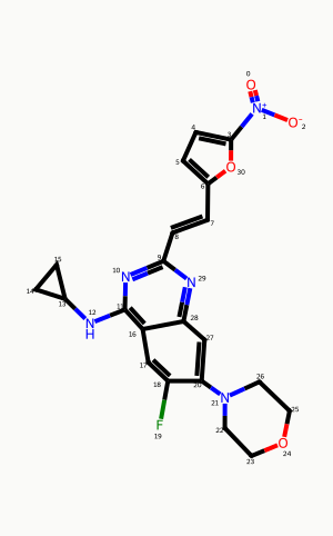 O=[N+]([O-])c1ccc(C=Cc2nc(NC3CC3)c3cc(F)c(N4CCOCC4)cc3n2)o1